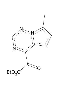 CCOC(=O)C(=O)c1ncnn2c(C)ccc12